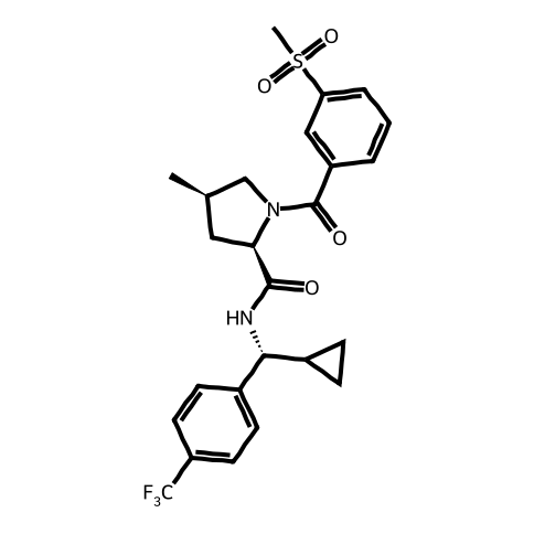 C[C@@H]1C[C@H](C(=O)N[C@@H](c2ccc(C(F)(F)F)cc2)C2CC2)N(C(=O)c2cccc(S(C)(=O)=O)c2)C1